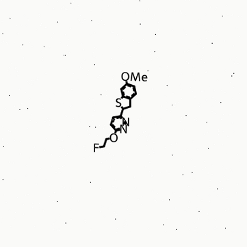 COc1ccc2c(c1)SC(c1ccc(OCCF)nn1)C2